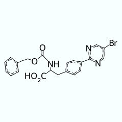 O=C(NC(Cc1ccc(-c2ncc(Br)cn2)cc1)C(=O)O)OCc1ccccc1